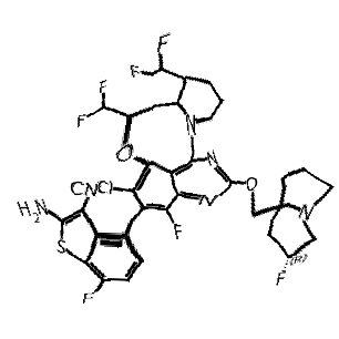 N#Cc1c(N)sc2c(F)ccc(-c3c(Cl)c4c5c(nc(OCC67CCCN6C[C@H](F)C7)nc5c3F)N3CCCC(C(F)F)C3CC(C(F)F)O4)c12